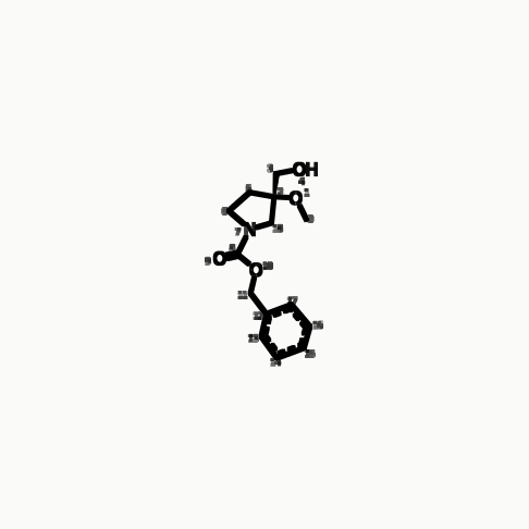 CO[C@@]1(CO)CCN(C(=O)OCc2ccccc2)C1